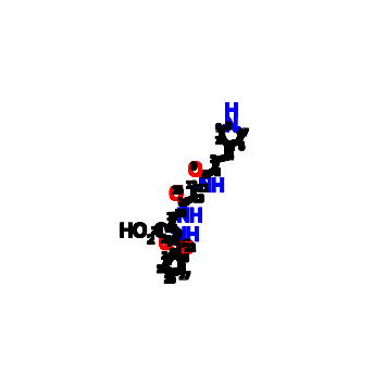 O=C(CCCC1CCNCC1)NCCC(=O)NCC(NS(=O)(=O)c1ccccc1)C(=O)O